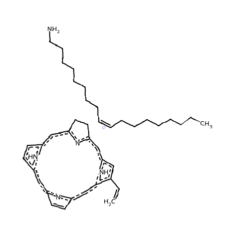 C=Cc1cc2cc3nc(cc4ccc(cc5nc(cc1[nH]2)C=C5)[nH]4)CC3.CCCCCCCC/C=C\CCCCCCCCN